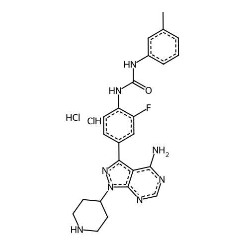 Cc1cccc(NC(=O)Nc2ccc(-c3nn(C4CCNCC4)c4ncnc(N)c34)cc2F)c1.Cl.Cl